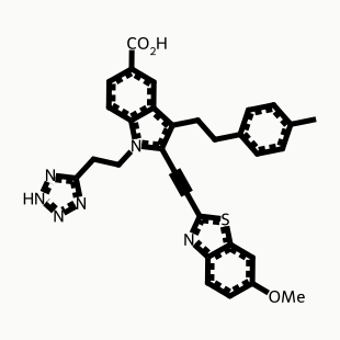 COc1ccc2nc(C#Cc3c(CCc4ccc(C)cc4)c4cc(C(=O)O)ccc4n3CCc3nn[nH]n3)sc2c1